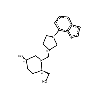 OC[C@H]1CC[C@@H](O)CN1C[C@H]1CCN(c2cccc3scnc23)C1